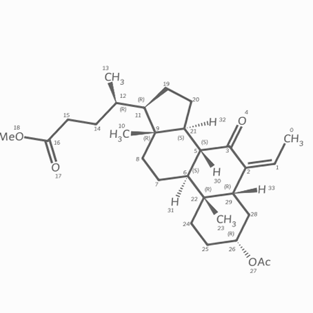 CC=C1C(=O)[C@@H]2[C@H](CC[C@]3(C)[C@@H]([C@H](C)CCC(=O)OC)CC[C@@H]23)[C@@]2(C)CC[C@@H](OC(C)=O)C[C@@H]12